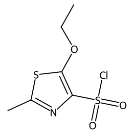 CCOc1sc(C)nc1S(=O)(=O)Cl